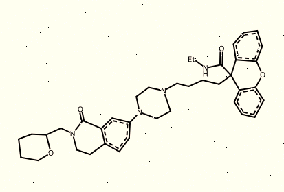 CCNC(=O)C1(CCCCN2CCN(c3ccc4c(c3)C(=O)N(CC3CCCCO3)CC4)CC2)c2ccccc2Oc2ccccc21